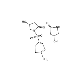 Cc1ccc(S(=O)(=O)N2CC(O)CC2=O)cc1.O=C1CC(O)CN1